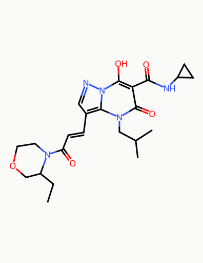 CCC1COCCN1C(=O)C=Cc1cnn2c(O)c(C(=O)NC3CC3)c(=O)n(CC(C)C)c12